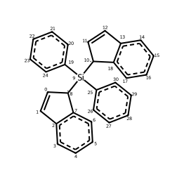 C1=Cc2ccccc2[C]1[Si]([C]1C=Cc2ccccc21)(c1ccccc1)c1ccccc1